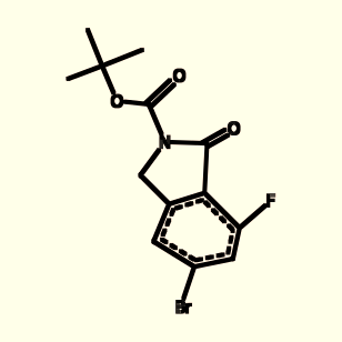 CC(C)(C)OC(=O)N1Cc2cc(Br)cc(F)c2C1=O